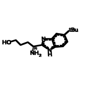 CC(C)(C)c1ccc2[nH]c([C@H](N)CCCO)nc2c1